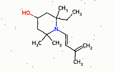 C=C(C)C=CN1C(C)(C)CC(O)CC1(C)CC